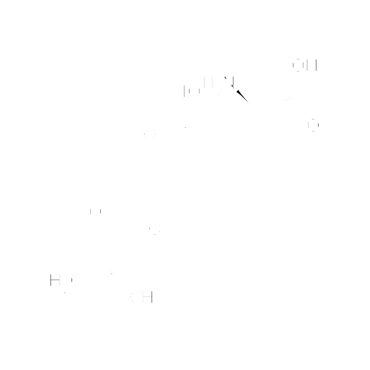 C=C(C)C(=O)OCCC(C[C@@H](N)C(=O)O)C(=O)O